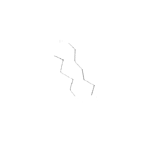 CCCCCCCCCCCCCCCC(=O)O.O=C(O)CCCCC(=O)O